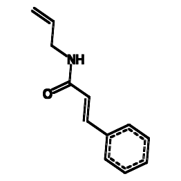 C=CCNC(=O)/C=C/c1ccccc1